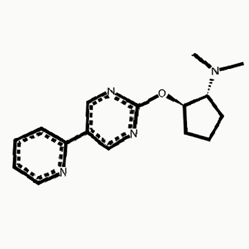 CN(C)[C@@H]1CCC[C@H]1Oc1ncc(-c2ccccn2)cn1